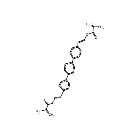 C=C(C)C(=O)O/C=C/c1ccc(-c2ccc(-c3ccc(/C=C/OC(=O)C(=C)C)cc3)cc2)cc1